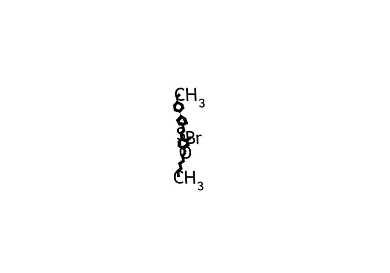 CCCCCCOc1ccc(SCc2ccc([C@H]3CC[C@H](CC)CC3)cc2)c(Br)c1